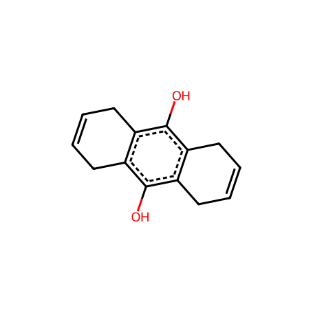 Oc1c2c(c(O)c3c1CC=CC3)CC=CC2